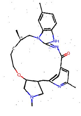 Cc1ccc2c(c1)N1C[C@H](C)CCCOC3CN(C)CC3c3cc(cc(C)n3)C(=O)/N=C/1N2